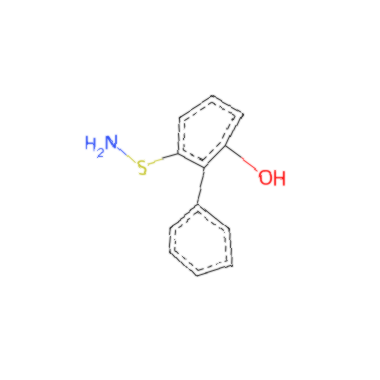 NSc1cccc(O)c1-c1ccccc1